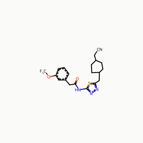 N#CCC1CCC(Cc2nnc(NC(=O)Cc3cccc(OC(F)(F)F)c3)s2)CC1